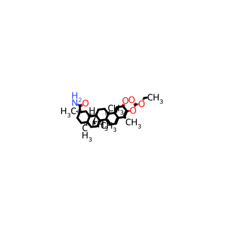 CCOC(=O)OC1=C(C)C2=CC=C3[C@@](C)(CC[C@@]4(CC)[C@@H]5C[C@](C)(C(N)=O)CC[C@]5(C)CC[C@]34C)C2=CC1=O